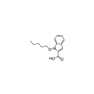 CCCCCOn1c(C(=O)O)cc2ccccc21